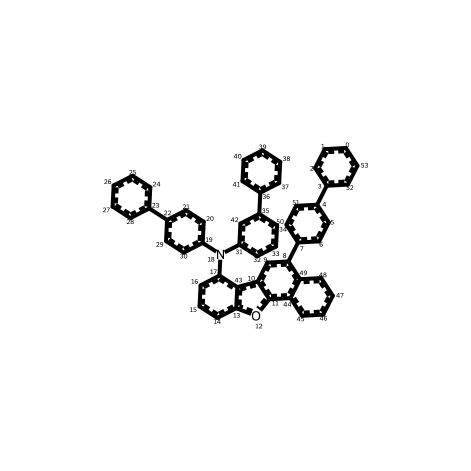 c1ccc(-c2ccc(-c3cc4c(oc5cccc(N(c6ccc(-c7ccccc7)cc6)c6cccc(-c7ccccc7)c6)c54)c4ccccc34)cc2)cc1